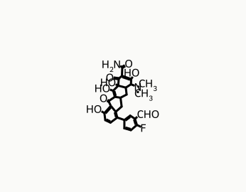 CN(C)C1C(O)=C(C(N)=O)C(=O)C2(O)C(O)=C3C(=O)c4c(O)ccc(-c5ccc(F)c(C=O)c5)c4CC3CC12